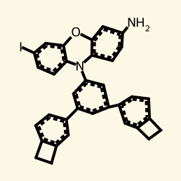 Nc1ccc2c(c1)Oc1cc(I)ccc1N2c1cc(-c2ccc3c(c2)CC3)cc(-c2ccc3c(c2)CC3)c1